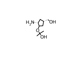 CC(C)(O)OC1C[C@@H](CO)C[C@H]1N